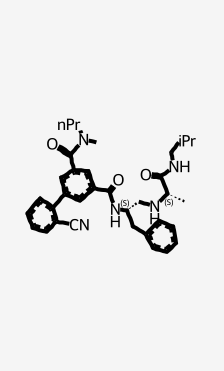 CCCN(C)C(=O)c1cc(C(=O)N[C@H](CN[C@@H](C)C(=O)NCC(C)C)Cc2ccccc2)cc(-c2ccccc2C#N)c1